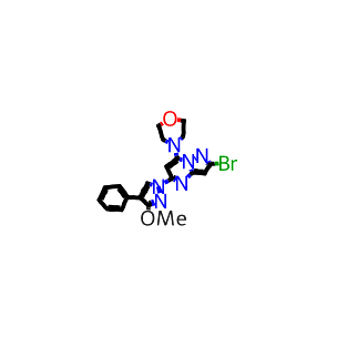 COc1nn(-c2cc(N3CCOCC3)n3nc(Br)cc3n2)cc1-c1ccccc1